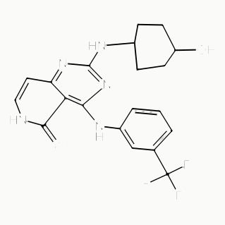 O=c1[nH]ccc2nc(NC3CCC(O)CC3)nc(Nc3cccc(C(F)(F)F)c3)c12